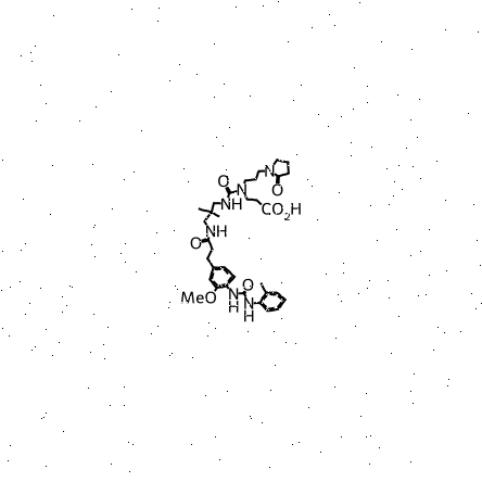 COc1cc(CCC(=O)NCC(C)(C)CNC(=O)N(CCCN2CCCC2=O)CCC(=O)O)ccc1NC(=O)Nc1ccccc1C